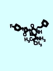 CC(C)[C@H](N)C(=O)N[C@@H](CCc1ccccc1)C(=O)N[C@H]1CN(c2ccc(F)cc2)C1=O